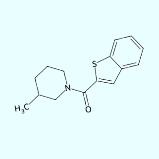 CC1CCCN(C(=O)c2cc3ccccc3s2)C1